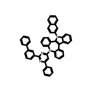 c1ccc(-c2cccc(-c3nc(-c4ccccc4)cc(N4c5ccccc5-c5c(n(-c6ccc7ccccc7c6)c6ccccc56)-c5ccccc54)n3)c2)cc1